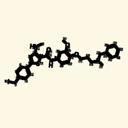 CNc1cc(-c2ccc(CI)cc2)sc1C(=O)Nc1ccc(OCCCN(C)Cc2ccccc2)c(OC)c1